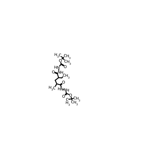 CCC(CC(C)C(=O)NNC(=O)OC(C)(C)C)C(=O)NNC(=O)OC(C)(C)C